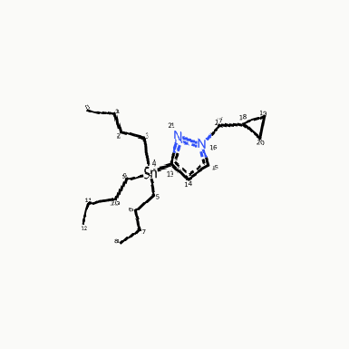 CCC[CH2][Sn]([CH2]CCC)([CH2]CCC)[c]1ccn(CC2CC2)n1